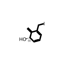 C=C1C(CI)=CC=C[C@@H]1O